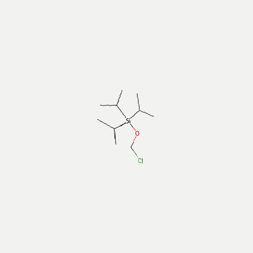 CC(C)[Si](OCCl)(C(C)C)C(C)C